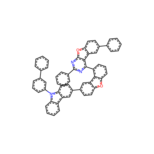 c1ccc(-c2cccc(-n3c4ccccc4c4cc(-c5ccc6oc7cccc(-c8nc(-c9ccccc9)nc9oc%10ccc(-c%11ccccc%11)cc%10c89)c7c6c5)ccc43)c2)cc1